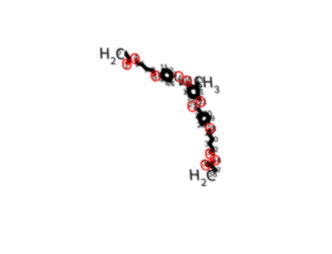 C=CC(=O)OCCCCOc1ccc(OCOc2ccc(OC(=O)c3ccc(OCCCCOOC(=O)C=C)cc3)cc2C)cc1